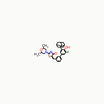 CC1CN(C2=NC(=O)C(=Cc3cccc(-c4cc(F)c(O)c(C56CC7CC(CC(C7)C5)C6)c4)c3)S2)CC(C)O1